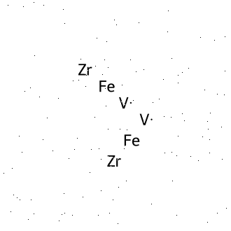 [Fe].[Fe].[V].[V].[Zr].[Zr]